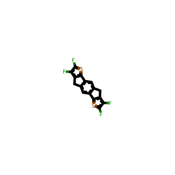 Fc1sc2c(c1F)Cc1cc3c(cc1-2)Cc1c-3sc(F)c1F